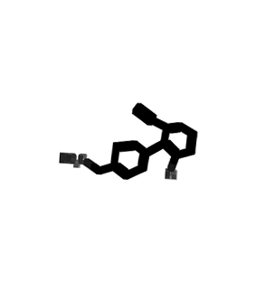 C#Cc1cccc(CC)c1-c1ccc(CC(=O)O)cc1